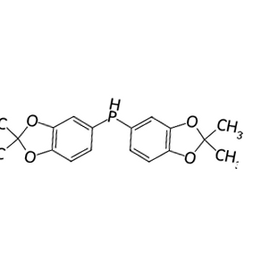 CC1(C)Oc2ccc(Pc3ccc4c(c3)OC(C)(C)O4)cc2O1